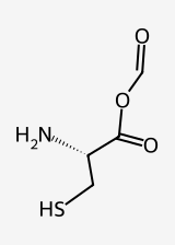 N[C@@H](CS)C(=O)OC=O